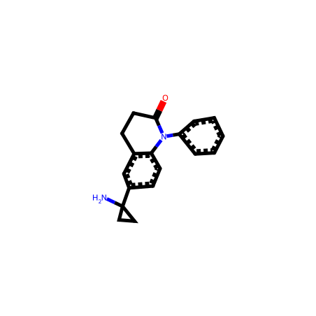 NC1(c2ccc3c(c2)CCC(=O)N3c2ccccc2)CC1